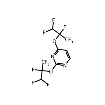 FC(F)C(F)(Oc1ccnc(OC(F)(C(F)F)C(F)(F)F)n1)C(F)(F)F